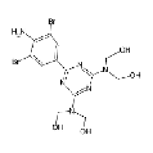 Nc1c(Br)cc(-c2nc(N(CO)CO)nc(N(CO)CO)n2)cc1Br